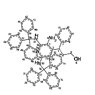 Nc1c(C(CCO)c2ccccc2)cc(NC(c2ccccc2)(c2ccccc2)c2ccccc2)nc1NC(c1ccccc1)(c1ccccc1)c1ccccc1